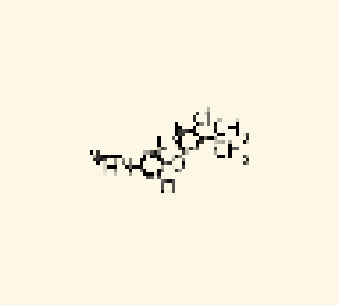 CC(C)c1cc(Oc2c(Cl)cc(NCC#N)cc2Cl)nnc1Cl